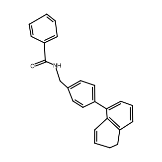 O=C(NCc1ccc(-c2cccc3c2C=CCC3)cc1)c1ccccc1